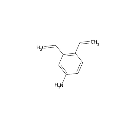 C=Cc1ccc(N)cc1C=C